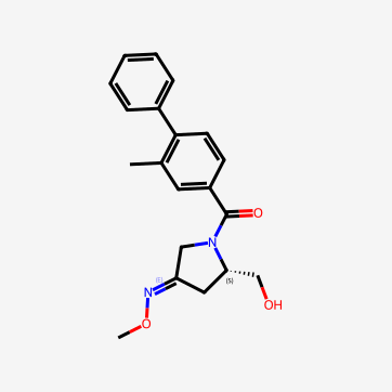 CO/N=C1\C[C@@H](CO)N(C(=O)c2ccc(-c3ccccc3)c(C)c2)C1